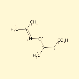 CC(C)=NOC(C)CC(=O)O